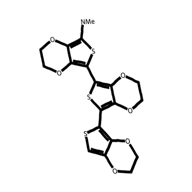 CNc1sc(-c2sc(-c3scc4c3OCCO4)c3c2OCCO3)c2c1OCCO2